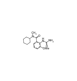 COc1cccc(C(=O)N(C)C2CCCCC2)c1NC(N)=O